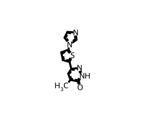 Cc1cc(-c2ccc(-n3ccnc3)s2)n[nH]c1=O